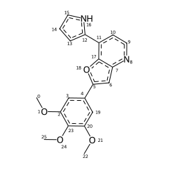 COc1cc(-c2cc3nccc(-c4ccc[nH]4)c3o2)cc(OC)c1OC